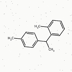 [CH2]c1ccc(C(C)c2ccccc2C)cc1